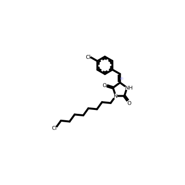 O=C1N/C(=C/c2ccc(Cl)cc2)C(=O)N1CCCCCCCCCl